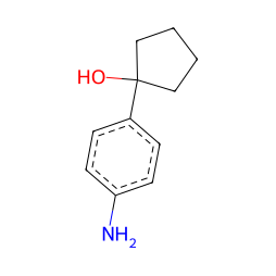 Nc1ccc(C2(O)CCCC2)cc1